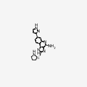 Nc1nc2cc(-c3cc[nH]n3)ccc2c2[nH]c(C[C@@H]3CCCN3)nc12